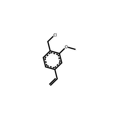 C=Cc1ccc(CCl)c(OC)c1